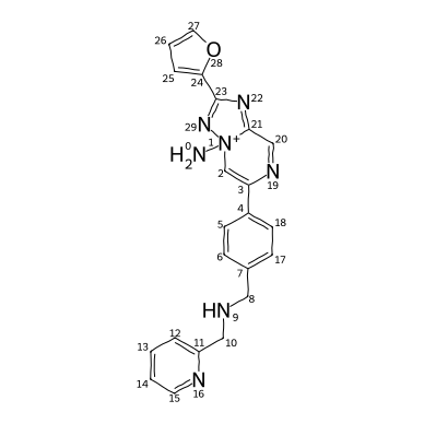 N[N+]12C=C(c3ccc(CNCc4ccccn4)cc3)N=CC1=NC(c1ccco1)=N2